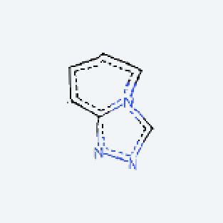 [c]1cccn2cnnc12